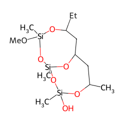 CCC1CC2CC(C)O[Si](C)(O)O[Si](C)(O2)O[Si](C)(OC)O1